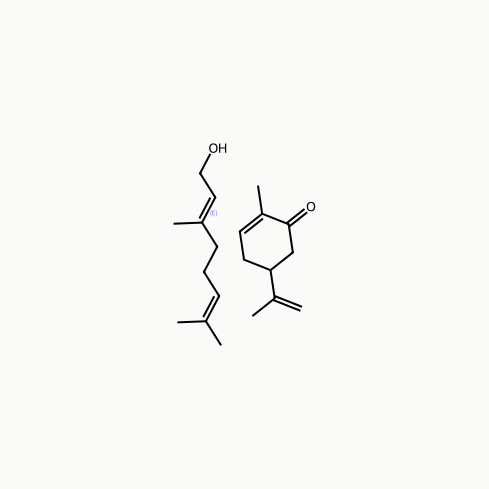 C=C(C)C1CC=C(C)C(=O)C1.CC(C)=CCC/C(C)=C/CO